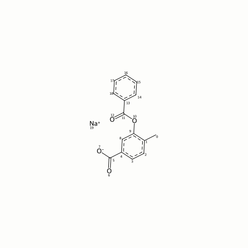 Cc1ccc(C(=O)[O-])cc1OC(=O)c1ccccc1.[Na+]